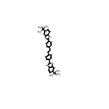 CC(C)(C)c1ccc2nc(-c3ccc(C=Cc4ccc(-c5nc6ccc(C(C)(C)C)cc6o5)cc4)cc3)oc2c1